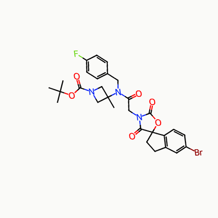 CC(C)(C)OC(=O)N1CC(C)(N(Cc2ccc(F)cc2)C(=O)CN2C(=O)OC3(CCc4cc(Br)ccc43)C2=O)C1